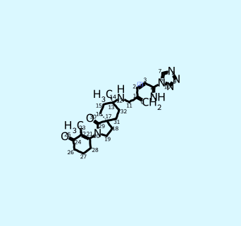 C=C(/C=C\C(=N)n1cnnn1)CN[C@]1(C)CC[C@@]2(CCN(C3=C(C)C(=O)CCC3)C2=O)CC1